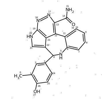 Cc1cc(C2Nc3ccccc3-c3c(C(N)=O)nnc4[nH]cc2c34)ccc1O